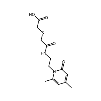 Cc1cc(C)n(CCNC(=O)CSCC(=O)O)c(=O)c1